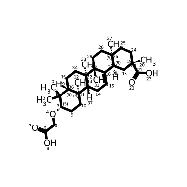 CC1(C)[C@@H](OCC(=O)O)CC[C@]2(C)[C@H]3CC=C4[C@@H]5C[C@@](C)(C(=O)O)CC[C@]5(C)CC[C@@]4(C)[C@]3(C)CC[C@@H]12